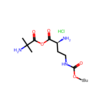 CC(C)(C)OC(=O)NCC[C@H](N)C(=O)OC(=O)C(C)(C)N.Cl